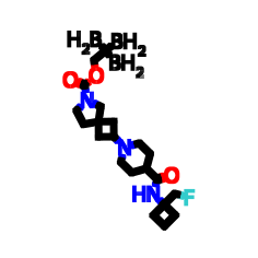 BC(B)(B)COC(=O)N1CCC2(CC(N3CCC(C(=O)NC4(CF)CCC4)CC3)C2)C1